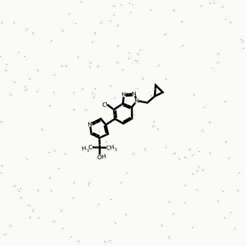 CC(C)(O)c1cncc(-c2ccc3c(nnn3CC3CC3)c2Cl)c1